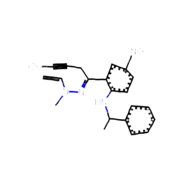 C=CN(C)/N=C(\CC#CC(C)(C)C)c1cc([N+](=O)[O-])ccc1NC(C)c1ccccc1